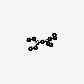 c1ccc(-c2cccc(-c3cc(-c4ccc(-c5nc6ccc(-c7cccc8ccccc78)cc6c6c5ccc5ccccc56)cc4)nc(-c4cccc(-c5ccccc5)c4)n3)c2)cc1